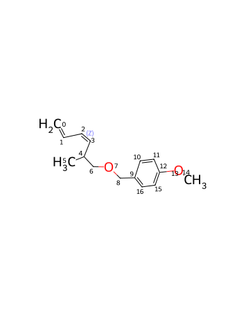 C=C/C=C\C(C)COCc1ccc(OC)cc1